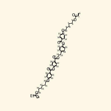 C=CC(=O)OCCCCCCOc1ccc(C(=O)Oc2ccc(CCOC(=O)c3ccc(OC(=O)c4ccc(OCCCCCCOC(=O)CC)cc4)cc3)cc2)cc1